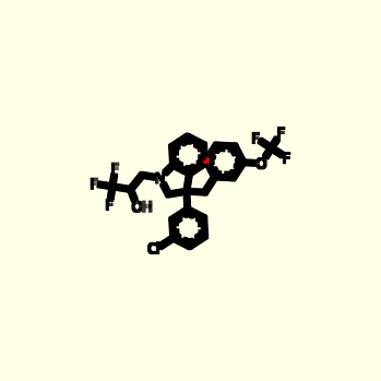 OC(CN1CC(Cc2cccc(OC(F)(F)F)c2)(c2cccc(Cl)c2)c2ccccc21)C(F)(F)F